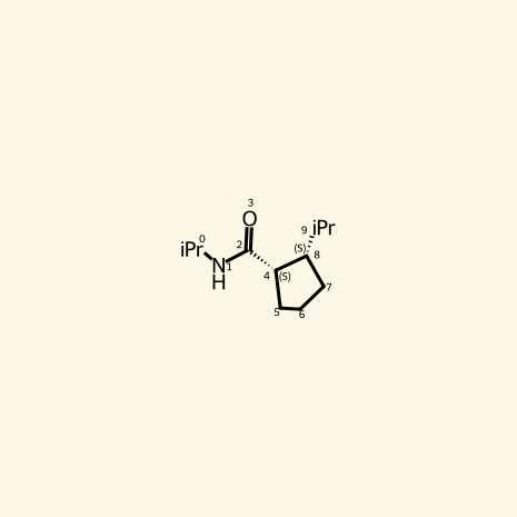 CC(C)NC(=O)[C@H]1CCC[C@H]1C(C)C